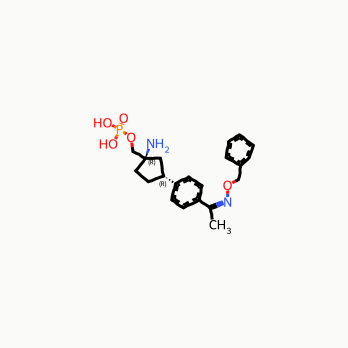 CC(=NOCc1ccccc1)c1ccc([C@@H]2CC[C@](N)(COP(=O)(O)O)C2)cc1